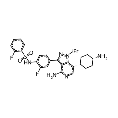 CC(C)n1nc(-c2ccc(NS(=O)(=O)c3ccccc3F)c(F)c2)c2c(N)ncc([C@H]3CC[C@@H](N)CC3)c21